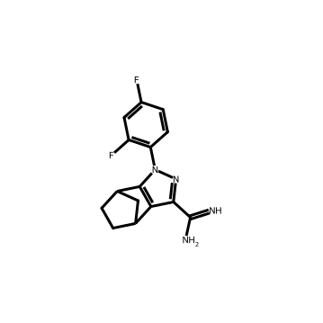 N=C(N)c1nn(-c2ccc(F)cc2F)c2c1C1CCC2C1